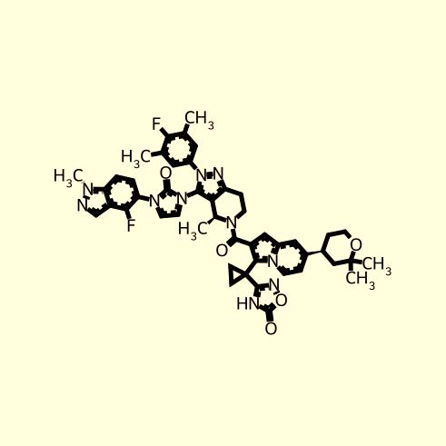 Cc1cc(-n2nc3c(c2-n2ccn(-c4ccc5c(cnn5C)c4F)c2=O)[C@H](C)N(C(=O)c2cc4cc([C@H]5CCOC(C)(C)C5)ccn4c2C2(c4noc(=O)[nH]4)CC2)CC3)cc(C)c1F